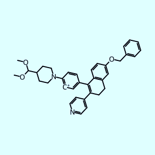 COC(OC)C1CCN(C2=[C+]C=C(C3=C(c4ccncc4)CCc4cc(OCc5ccccc5)ccc43)C=C2)CC1